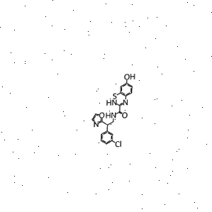 O=C(NCC(c1cccc(Cl)c1)c1ncco1)C1=Nc2ccc(O)cc2SN1